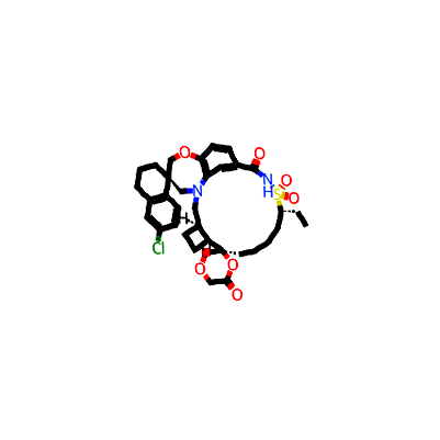 CC[C@@H]1CCCC[C@]2(COCC(=O)O2)[C@@H]2CC[C@H]2CN2C[C@@]3(CCCc4cc(Cl)ccc43)COc3ccc(cc32)C(=O)NS1(=O)=O